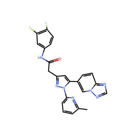 Cc1cccc(-n2nc(CC(=O)Nc3ccc(F)c(F)c3)cc2-c2ccc3ncnn3c2)n1